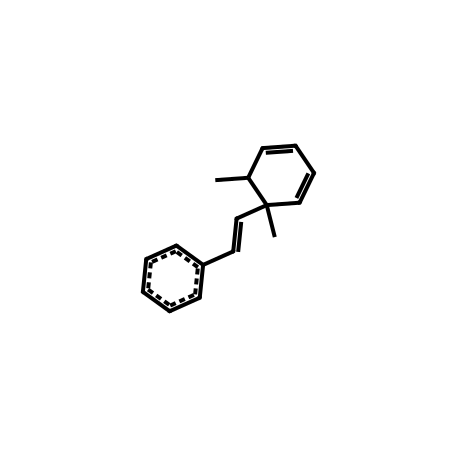 CC1C=CC=CC1(C)C=Cc1ccccc1